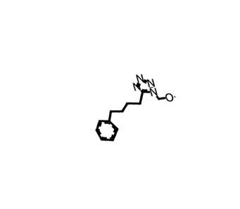 [O]Cn1nnnc1CCCCc1ccccc1